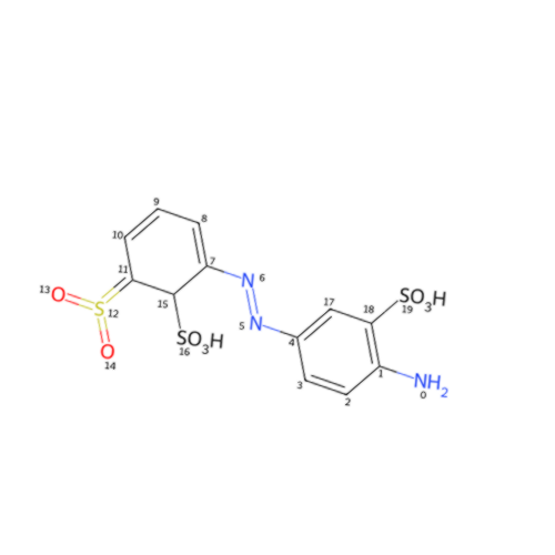 Nc1ccc(N=NC2=CC=CC(=S(=O)=O)C2S(=O)(=O)O)cc1S(=O)(=O)O